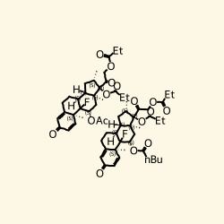 CCC(=O)OCC(=O)[C@@]1(OC(=O)CC)[C@@H](C)C[C@H]2[C@@H]3CCC4=CC(=O)C=C[C@]4(C)C3(F)[C@@H](OC(C)=O)C[C@@]21C.CCCCC(=O)O[C@H]1C[C@@]2(C)[C@@H](C[C@H](C)[C@]2(OC(=O)CC)C(=O)COC(=O)CC)[C@@H]2CCC3=CC(=O)C=C[C@]3(C)C12F